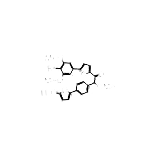 COc1cc(-c2ccc(C(=O)C(OC)c3ccc(-c4ccc(C)o4)cc3)o2)cc(OC)c1Br